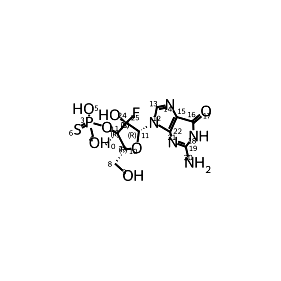 C[C@@]1(OP(O)(O)=S)[C@@H](CO)O[C@@H](n2cnc3c(=O)[nH]c(N)nc32)[C@@]1(O)F